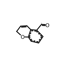 O=[C]c1cccc2c1C=CCO2